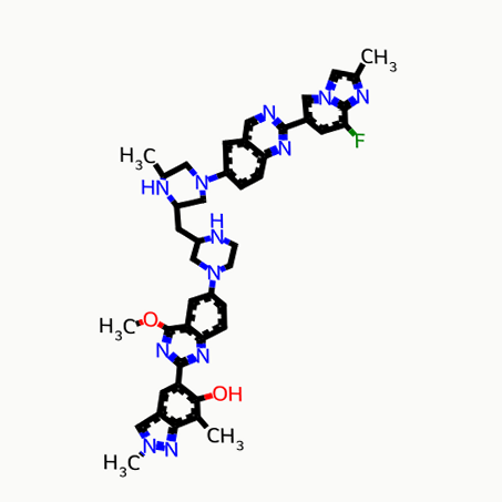 COc1nc(-c2cc3cn(C)nc3c(C)c2O)nc2ccc(N3CCNC(CC4CN(c5ccc6nc(-c7cc(F)c8nc(C)cn8c7)ncc6c5)CC(C)N4)C3)cc12